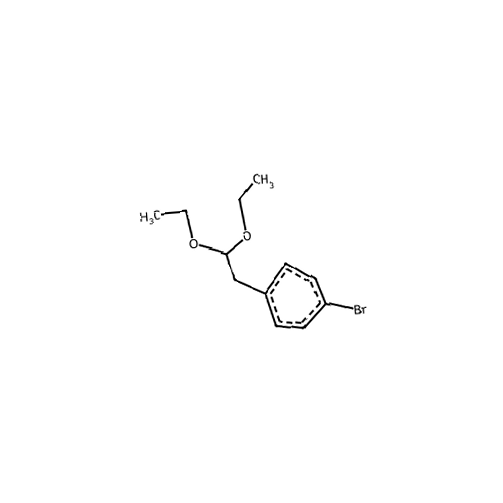 CCOC(Cc1ccc(Br)cc1)OCC